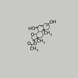 CC(=O)O[C@H]1COC2C3C(CC[C@@]21C)[C@@]1(C)CC[C@H](O)CC1=C[C@@H]3O